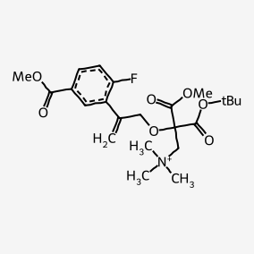 C=C(COC(C[N+](C)(C)C)(C(=O)OC)C(=O)OC(C)(C)C)c1cc(C(=O)OC)ccc1F